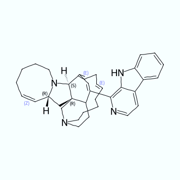 C1=C(c2nccc3c2[nH]c2ccccc23)C2CCN3CCCC/C=C/C/C=C\1[C@@H]1N4CCCC/C=C\[C@H]4C[C@]21C3